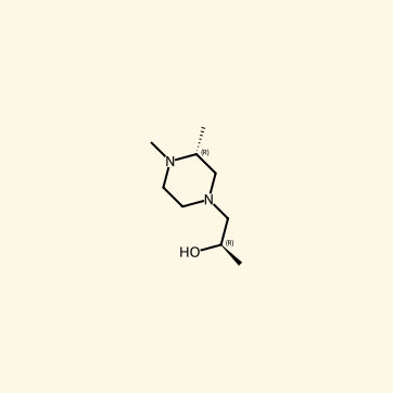 C[C@@H]1CN(C[C@@H](C)O)CCN1C